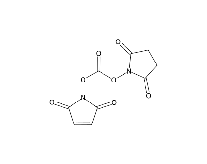 O=C(ON1C(=O)C=CC1=O)ON1C(=O)CCC1=O